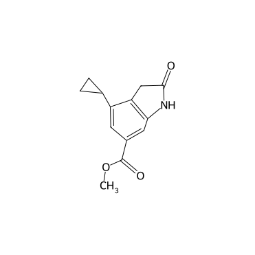 COC(=O)c1cc2c(c(C3CC3)c1)CC(=O)N2